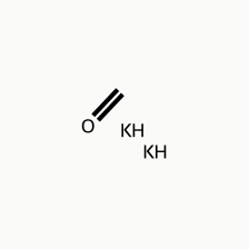 C=O.[KH].[KH]